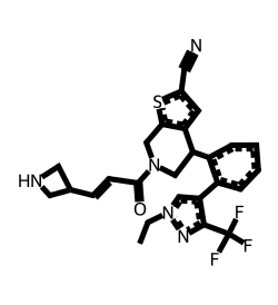 CCn1cc(-c2ccccc2C2CN(C(=O)/C=C/C3CNC3)Cc3sc(C#N)cc32)c(C(F)(F)F)n1